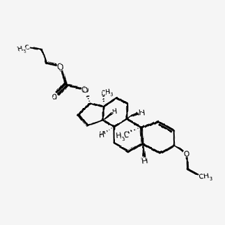 CCCOC(=O)O[C@H]1CC[C@H]2[C@@H]3CC[C@H]4C[C@H](OCC)C=C[C@]4(C)[C@H]3CC[C@]12C